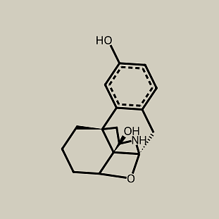 Oc1ccc2c(c1)[C@]13CCCC4O[C@](C2)(NCC1)[C@]43O